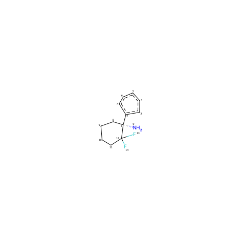 N[C@@]1(c2ccccc2)CCCCC1(F)F